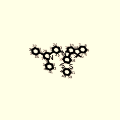 CC1(C)c2ccccc2-c2ccc3c(c21)c1cc2c(cc1n3-c1cccc(-c3cc(-c4ccccc4)cc(-c4ccccc4)n3)c1)Sc1ccccc1S2